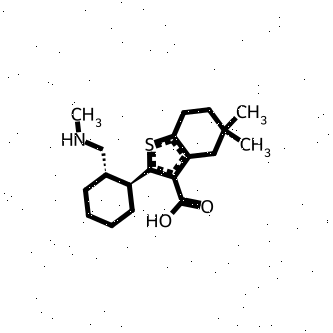 CNC[C@H]1CCCC[C@@H]1c1sc2c(c1C(=O)O)CC(C)(C)CC2